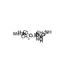 C\C=C/C(=C\N=C(/C)OC)c1ccc(Cc2nn(C)c(-n3[nH]c4cc5c(cc43)CNC5)c2N=O)cc1